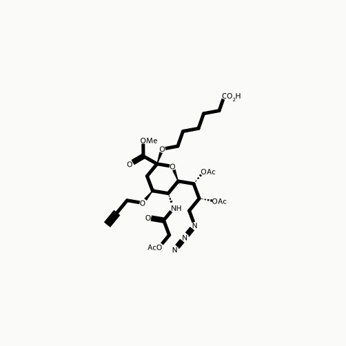 C#CCO[C@H]1C[C@](OCCCCCC(=O)O)(C(=O)OC)O[C@@H]([C@H](OC(C)=O)[C@@H](CN=[N+]=[N-])OC(C)=O)[C@@H]1NC(=O)COC(C)=O